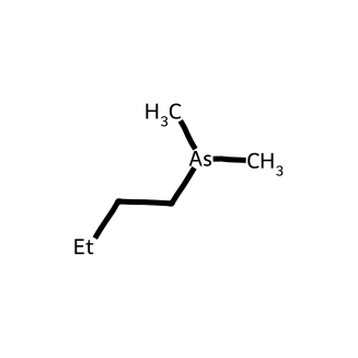 [CH2]CCC[As](C)C